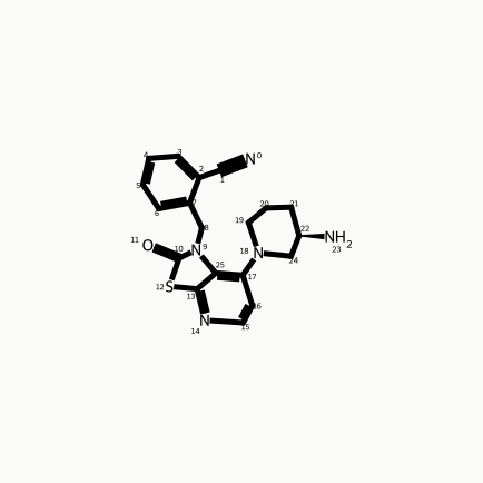 N#Cc1ccccc1Cn1c(=O)sc2nccc(N3CCC[C@@H](N)C3)c21